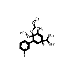 CCCOC1(OCOCC)C(C)=CC(F)(C(CCC)C(C)(C)C)C=C1c1cccc(I)c1